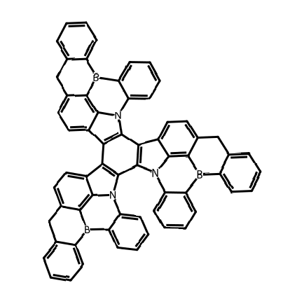 c1ccc2c(c1)Cc1ccc3c4c5c6ccc7c8c6n(c5c5c(c6ccc9c%10c6n5-c5ccccc5B%10c5ccccc5C9)c4n4c3c1B2c1ccccc1-4)-c1ccccc1B8c1ccccc1C7